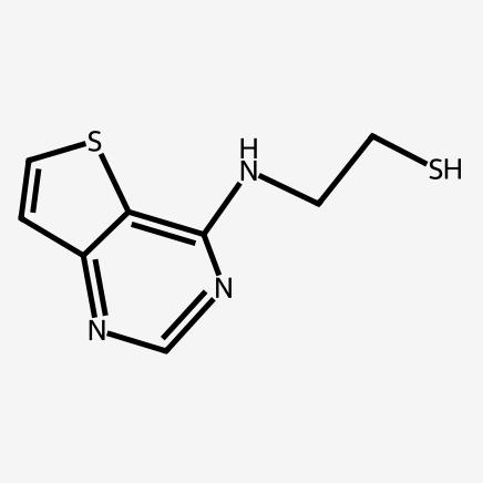 SCCNc1ncnc2ccsc12